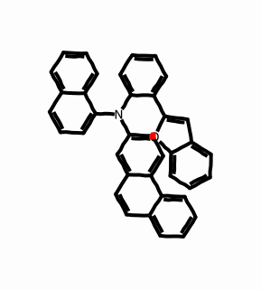 c1ccc(N(c2ccc3c(ccc4ccccc43)c2)c2cccc3ccccc23)c(-c2cc3ccccc3o2)c1